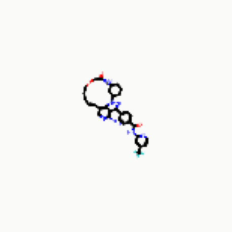 N=C(c1ccc(C(=O)Nc2cc(C(F)(F)F)ccn2)cc1)c1c(N)ncc2c1N[C@@H]1CCC[C@H](C1)NC(=O)COCCC/C=C/2